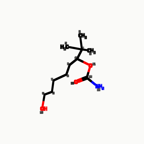 CC(C)(C)C(CCCCCO)OC(N)=O